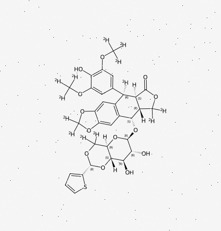 [2H]C([2H])([2H])Oc1cc([C@]2([2H])c3cc4c(cc3[C@@H](O[C@@H]3O[C@H]5[C@@H](O[C@H](c6cccs6)OC5([2H])[2H])[C@H](O)[C@H]3O)[C@@H]3[C@@H]2C(=O)OC3([2H])[2H])OC([2H])([2H])O4)cc(OC([2H])([2H])[2H])c1O